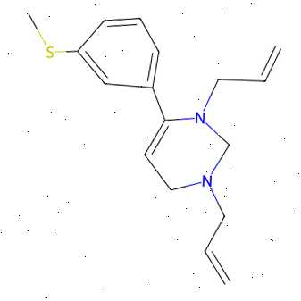 C=CCN1CC=C(c2cccc(SC)c2)N(CC=C)C1